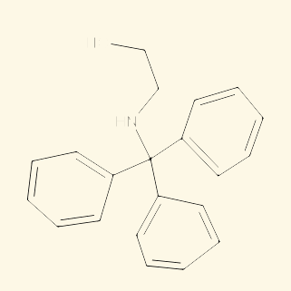 C[C@@H](O)CNC(c1ccccc1)(c1ccccc1)c1ccccc1